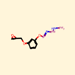 PNPN=POc1cccc(OCC2CO2)c1